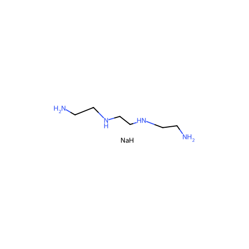 NCCNCCNCCN.[NaH]